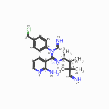 C[C@H](/N=C(/c1cccnc1N)N(C=N)c1ccc(CCl)cc1)[C@@H](C)C(C)(C=N)C(F)(F)F